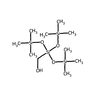 C[Si](C)(C)O[Si](CO)(O[Si](C)(C)C)O[Si](C)(C)C